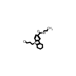 CCCNC(=O)c1ccc2c(c1)c1c(n2CCCCl)CCCC1